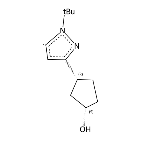 CC(C)(C)n1[c]cc([C@@H]2CC[C@H](O)C2)n1